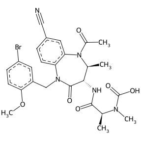 COc1ccc(Br)cc1CN1C(=O)[C@@H](NC(=O)[C@H](C)N(C)C(=O)O)[C@H](C)N(C(C)=O)c2cc(C#N)ccc21